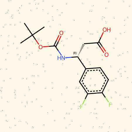 CC(C)(C)OC(=O)N[C@H](CC(=O)O)c1ccc(F)c(F)c1